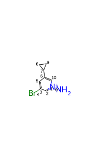 N[n+]1cc(Br)cc(C2CC2)c1